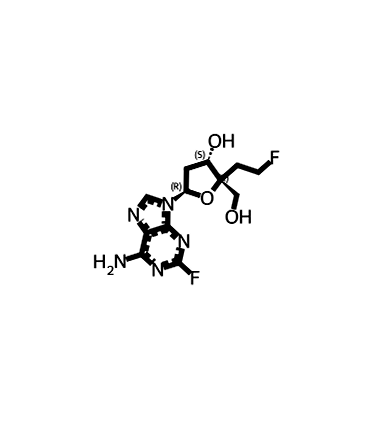 Nc1nc(F)nc2c1ncn2[C@H]1C[C@H](O)[C@](CO)(CCF)O1